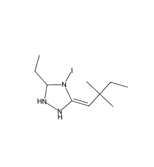 CCC1NN/C(=C/C(C)(C)CC)N1I